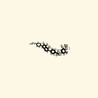 CCCC1CCC(c2cc3ccc(-c4ccc(C(F)(F)Oc5cc(F)c(OC(F)(F)F)c(F)c5)cc4)c(F)c3c(F)c2F)CC1